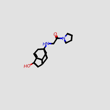 O=C(CNC12CC=C3C(O)CC(C1)C3C2)N1CCCC1